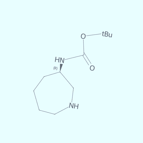 CC(C)(C)OC(=O)N[C@@H]1CCCCNC1